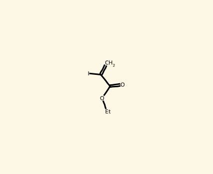 C=C(I)C(=O)OCC